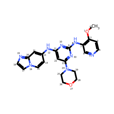 COc1ccncc1Nc1nc(Nc2ccn3ccnc3c2)cc(N2CCOCC2)n1